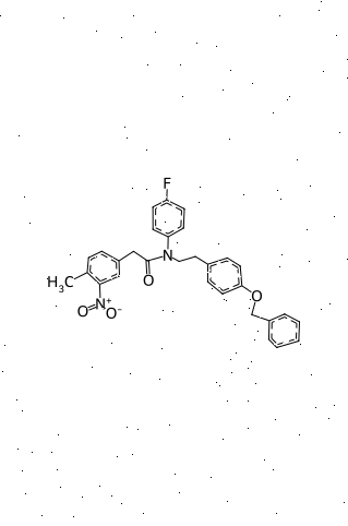 Cc1ccc(CC(=O)N(CCc2ccc(OCc3ccccc3)cc2)c2ccc(F)cc2)cc1[N+](=O)[O-]